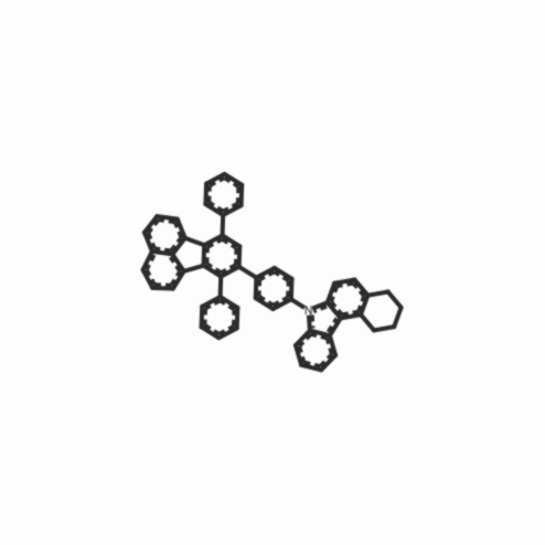 c1ccc(-c2cc(-c3ccc(-n4c5ccccc5c5c6c(ccc54)CCCC6)cc3)c(-c3ccccc3)c3c2-c2cccc4cccc-3c24)cc1